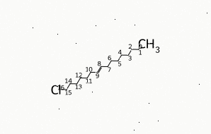 CCCCCCCCC=CCCCCCCCl